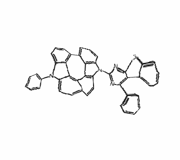 c1ccc(-c2nc(-n3c4cccc5c4c4c6c(ccc7c6c6c-5cccc6n7-c5ccccc5)ccc43)nc3sc4ccccc4c23)cc1